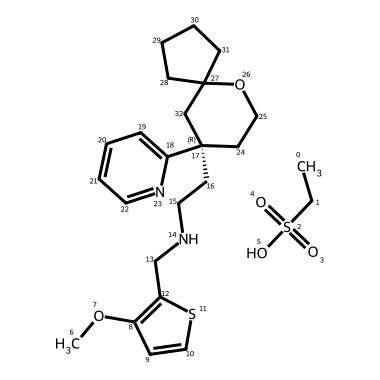 CCS(=O)(=O)O.COc1ccsc1CNCC[C@@]1(c2ccccn2)CCOC2(CCCC2)C1